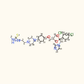 CNC(=S)NCCN1CCN(c2ccc(OCC3COC(Cn4ccnc4)(c4ccc(Cl)cc4Cl)O3)cc2)CC1